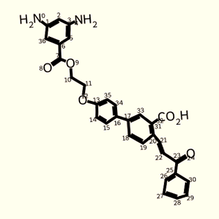 Nc1cc(N)cc(C(=O)OCCOc2ccc(-c3ccc(C=CC(=O)c4ccccc4)c(C(=O)O)c3)cc2)c1